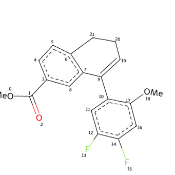 COC(=O)c1ccc2c(c1)C(c1cc(F)c(F)cc1OC)=CCC2